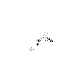 CN1CCN(c2ccc(-n3cc(C(=O)NCCCN4CCOCC4)nn3)cc2NC(=O)c2ncc(C(F)(F)F)nc2Cl)CC1